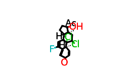 CC(=O)[C@@]1(O)CC[C@H]2[C@@H]3C=C(F)C4=CC(=O)C=C[C@]4(C)[C@@]3(Cl)C(Cl)C[C@@]21C